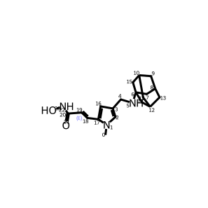 Cn1cc(CNC23CC4CC(CC(C4)C2)C3)cc1/C=C/C(=O)NO